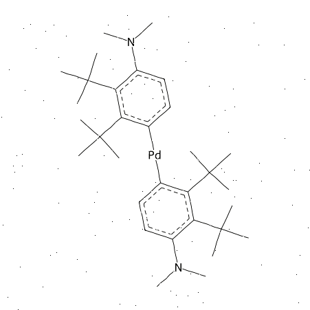 CN(C)c1cc[c]([Pd][c]2ccc(N(C)C)c(C(C)(C)C)c2C(C)(C)C)c(C(C)(C)C)c1C(C)(C)C